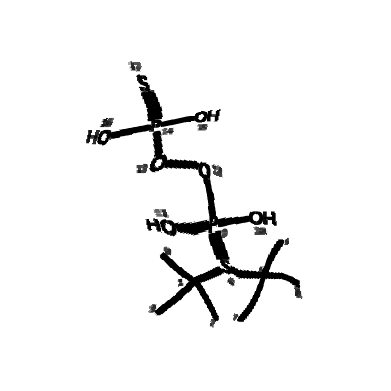 CC(C)(C)S(C(C)(C)C)=P(O)(O)OOP(O)(O)=S